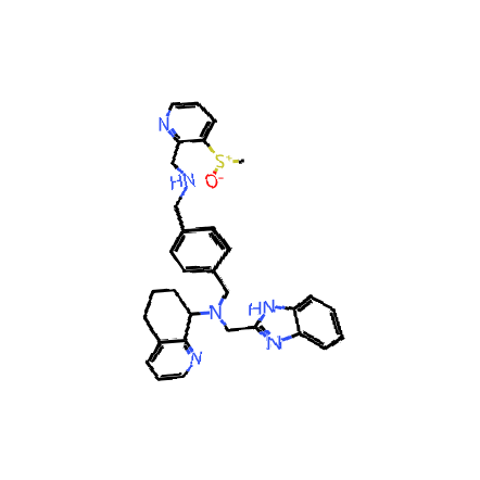 C[S+]([O-])c1cccnc1CNCc1ccc(CN(Cc2nc3ccccc3[nH]2)C2CCCc3cccnc32)cc1